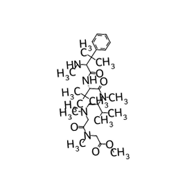 CNC(C(=O)N[C@H](C(=O)N(C)[C@H](CN(C)CC(=O)N(C)CC(=O)OC)C(C)C)C(C)(C)C)C(C)(C)c1ccccc1